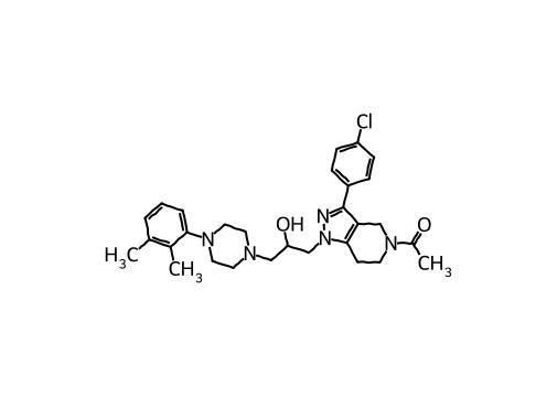 CC(=O)N1CCc2c(c(-c3ccc(Cl)cc3)nn2CC(O)CN2CCN(c3cccc(C)c3C)CC2)C1